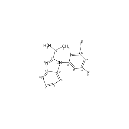 CC(N)c1nc2ncccc2n1-c1cc(F)cc(F)c1